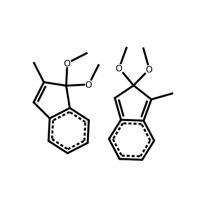 COC1(OC)C(C)=Cc2ccccc21.COC1(OC)C=c2ccccc2=C1C